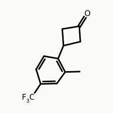 Cc1cc(C(F)(F)F)ccc1C1CC(=O)C1